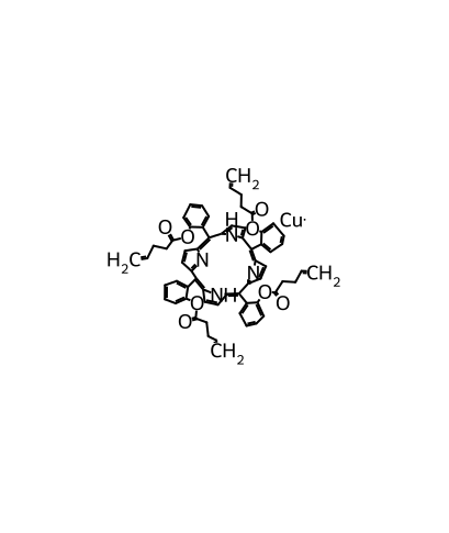 C=CCCC(=O)Oc1ccccc1-c1c2nc(c(-c3ccccc3OC(=O)CCC=C)c3ccc([nH]3)c(-c3ccccc3OC(=O)CCC=C)c3nc(c(-c4ccccc4OC(=O)CCC=C)c4ccc1[nH]4)C=C3)C=C2.[Cu]